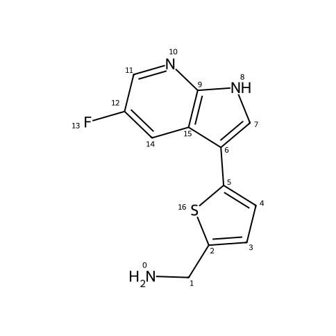 NCc1ccc(-c2c[nH]c3ncc(F)cc23)s1